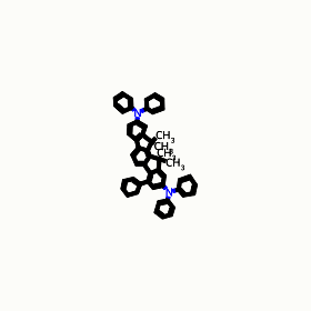 CC1(C)c2cc(N(c3ccccc3)C3C=CC=CC3)ccc2-c2ccc3c(c21)C(C)(C)c1cc(N(c2ccccc2)c2ccccc2)cc(C2=CC=CCC2)c1-3